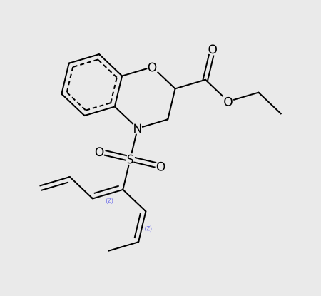 C=C/C=C(/C=C\C)S(=O)(=O)N1CC(C(=O)OCC)Oc2ccccc21